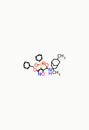 CC1CC2CC(C1)CC(C)(NC(=O)c1onc(OCc3ccccc3)c1S(=O)(=O)c1ccccc1)C2